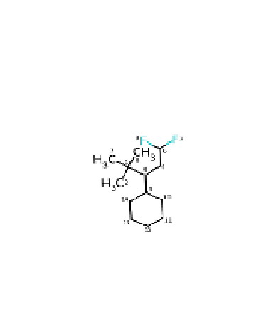 CC(C)(C)C(CC(F)F)C1CCCCC1